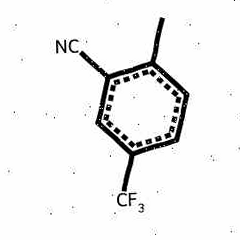 Cc1ccc(C(F)(F)F)cc1C#N